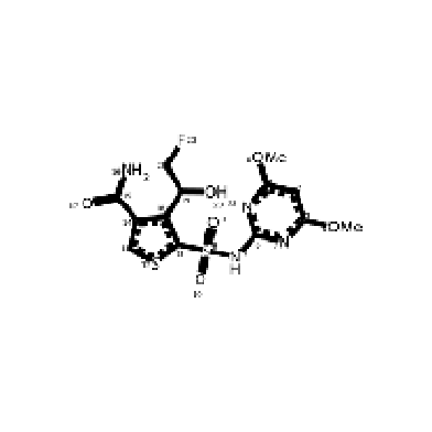 COc1cc(OC)nc(NS(=O)(=O)c2scc(C(N)=O)c2C(O)CF)n1